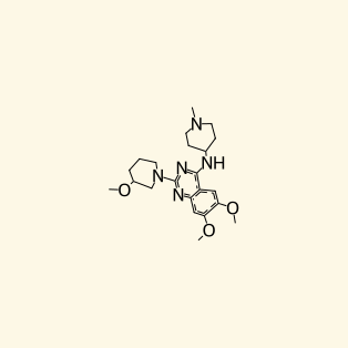 COc1cc2nc(N3CCCC(OC)C3)nc(NC3CCN(C)CC3)c2cc1OC